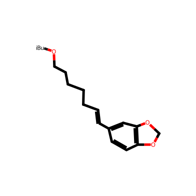 CCC(C)OCCCCCC=Cc1ccc2c(c1)OCO2